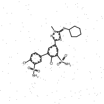 Cn1nc(-c2cc(-c3ccc(Cl)c(S(N)(=O)=O)c3)c(Cl)c(S(N)(=O)=O)c2)sc1=NC1CCCCC1